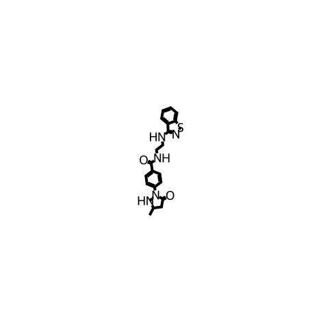 CC1CC(=O)N(c2ccc(C(=O)NCCNc3nsc4ccccc34)cc2)N1